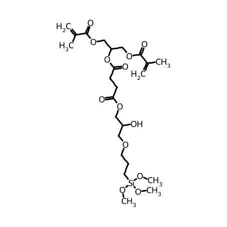 C=C(C)C(=O)OCC(COC(=O)C(=C)C)OC(=O)CCC(=O)OCC(O)COCCC[Si](OC)(OC)OC